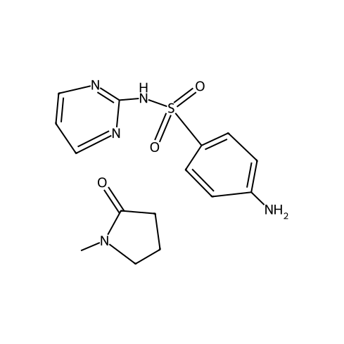 CN1CCCC1=O.Nc1ccc(S(=O)(=O)Nc2ncccn2)cc1